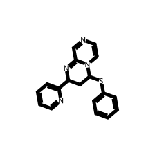 C1=CN2C(=NC(c3ccccn3)CC2Sc2ccccc2)C=N1